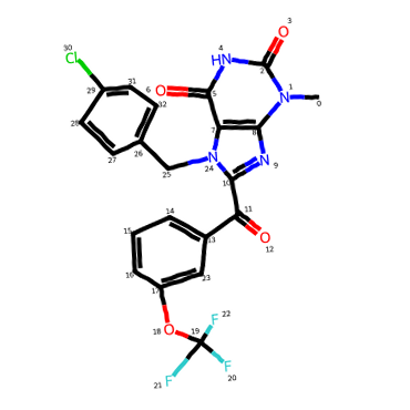 Cn1c(=O)[nH]c(=O)c2c1nc(C(=O)c1cccc(OC(F)(F)F)c1)n2Cc1ccc(Cl)cc1